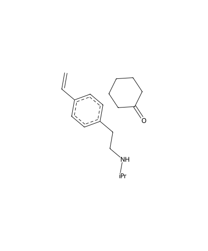 C=Cc1ccc(CCNC(C)C)cc1.O=C1CCCCC1